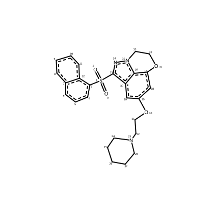 O=S(=O)(c1cccc2ccccc12)c1nn2c3c(cc(OCCN4CCCCC4)cc13)OCC2